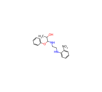 CC(O)C(NCCNc1ccccc1[N+](=O)[O-])Oc1ccccc1